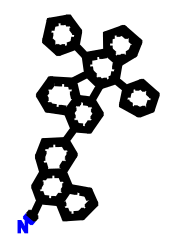 N#Cc1cc2ccc(-c3ccc4c5c(cccc35)-c3c-4c(-c4ccccc4)c4ccccc4c3-c3ccccc3)cc2c2ccccc12